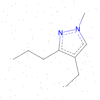 [CH2]Cc1cn(C)nc1CCC